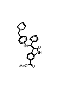 COC(=O)c1ccc2c(c1)NC(=O)C2=C(Nc1ccc(CN2CC=CCC2)cc1)c1ccccc1